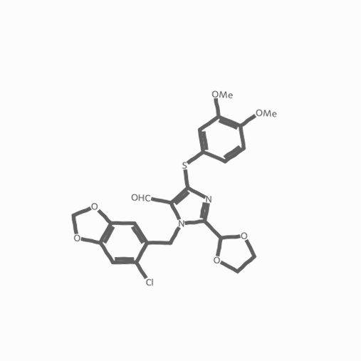 COc1ccc(Sc2nc(C3OCCO3)n(Cc3cc4c(cc3Cl)OCO4)c2C=O)cc1OC